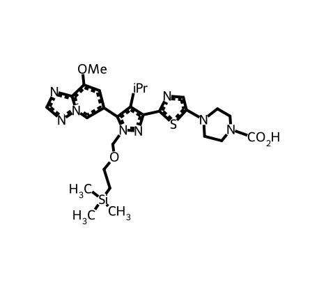 COc1cc(-c2c(C(C)C)c(-c3ncc(N4CCN(C(=O)O)CC4)s3)nn2COCC[Si](C)(C)C)cn2ncnc12